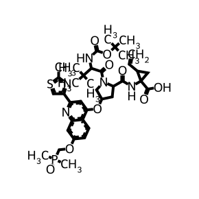 C=CC1CC1(NC(=O)C1CC(Oc2cc(-c3csc(C)n3)nc3cc(OCP(C)(C)=O)ccc23)CN1C(=O)C(NC(=O)OC(C)(C)C)C(C)(C)C)C(=O)O